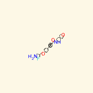 NCC(=CF)COc1ccc(C23CCC(C(=O)NC4CCC5(CCOCC5)CC4)(CC2)CC3)cc1